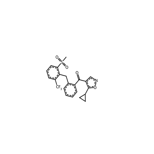 CS(=O)(=O)c1cccc(C(F)(F)F)c1Cc1ccccc1C(=O)c1cnoc1C1CC1